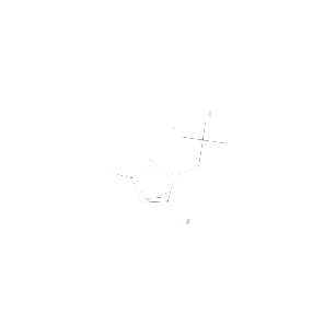 Cc1cc(N)n(CC(C)(C)N)n1